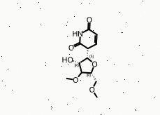 COC[C@H]1O[C@@H](C2C=CC(=O)NC2=O)[C@@H](O)C1OC